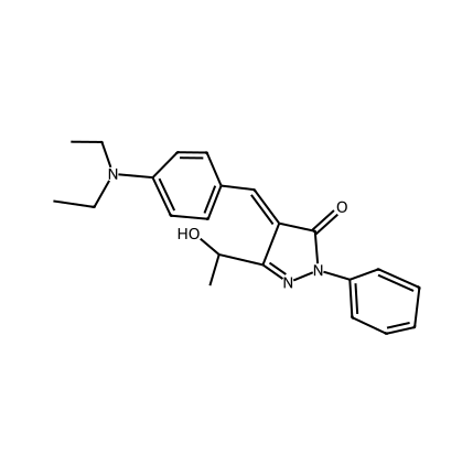 CCN(CC)c1ccc(/C=C2/C(=O)N(c3ccccc3)N=C2C(C)O)cc1